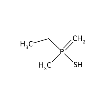 C=P(C)(S)CC